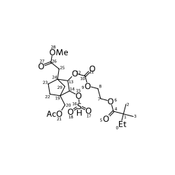 CCC(C)(C)C(=O)OCCOC(=O)OC1C(O[SH](=O)=O)C2(COC(C)=O)CCC1(CC(=O)OC)C2